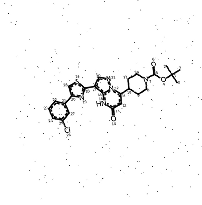 CC(C)(C)OC(=O)N1CCC(c2cc(=O)[nH]c3c(-c4nc(-c5cccc(Cl)c5)cs4)cnn23)CC1